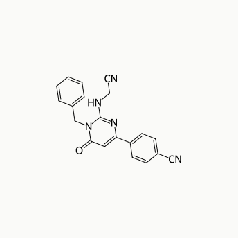 N#CCNc1nc(-c2ccc(C#N)cc2)cc(=O)n1Cc1ccccc1